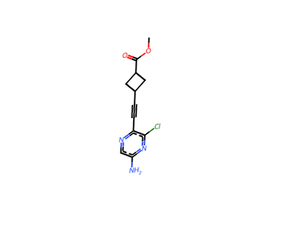 COC(=O)C1CC(C#Cc2ncc(N)nc2Cl)C1